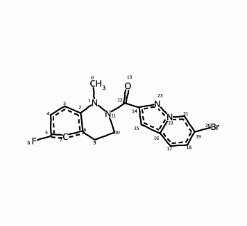 CN1c2ccc(F)cc2CCN1C(=O)c1cc2ccc(Br)cn2n1